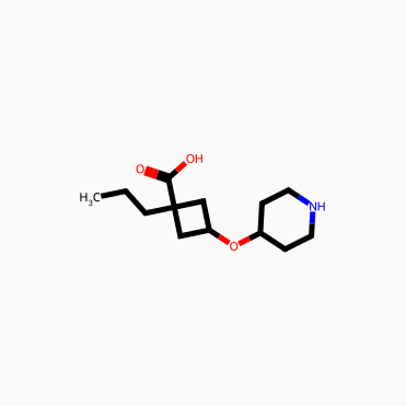 CCCC1(C(=O)O)CC(OC2CCNCC2)C1